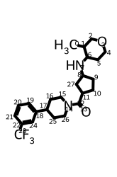 CC1COCCC1NC1CCC(C(=O)N2CCC(c3cccc(C(F)(F)F)c3)CC2)C1